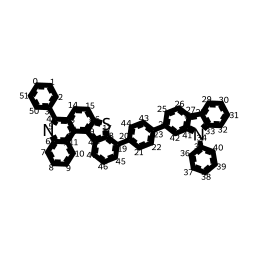 c1ccc(-c2nc3ccccc3c3c2ccc2sc4c(-c5ccc(-c6ccc7c8ccccc8n(-c8ccccc8)c7c6)cc5)cccc4c23)cc1